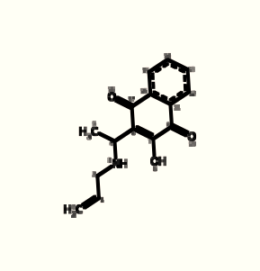 C=CCNC(C)C1=C(O)C(=O)c2ccccc2C1=O